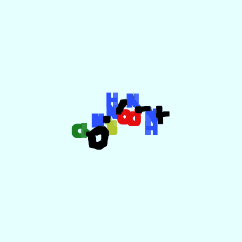 CN(CC(=O)Nc1nc2c(Cl)cccc2s1)C(=O)CNC(C)(C)C